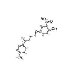 Cc1ccc([S+]([O-])CCCOc2ccc(O)c(C(=O)O)c2)cc1